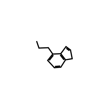 CCCc1cccc2c1C=CC2